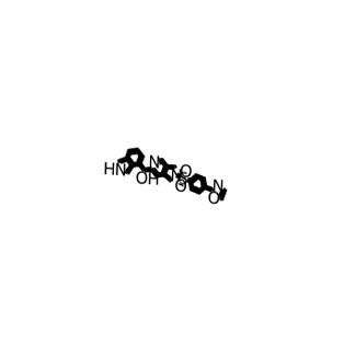 O=S(=O)(c1ccc(-c2ncco2)cc1)N1Cc2cnc(C(O)c3cccc4c3CNC4)cc2C1